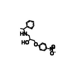 CC(NCC(O)COc1ccc([N+](=O)[O-])cc1)c1ccccc1